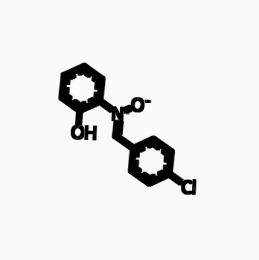 [O-][N+](=Cc1ccc(Cl)cc1)c1ccccc1O